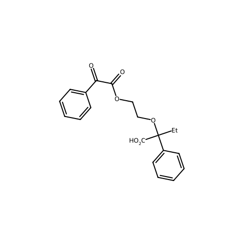 CCC(OCCOC(=O)C(=O)c1ccccc1)(C(=O)O)c1ccccc1